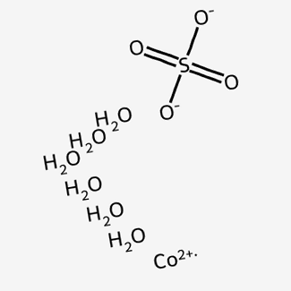 O.O.O.O.O.O.O=S(=O)([O-])[O-].[Co+2]